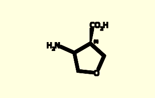 NC1COC[C@@H]1C(=O)O